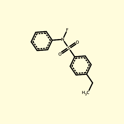 CCc1ccc(S(=O)(=O)N(F)c2ccccc2)cc1